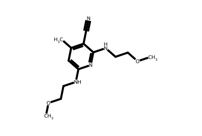 COCCNc1cc(C)c(C#N)c(NCCOC)n1